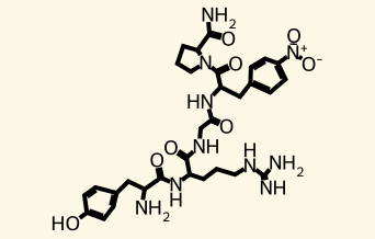 N=C(N)NCCCC(NC(=O)C(N)Cc1ccc(O)cc1)C(=O)NCC(=O)NC(Cc1ccc([N+](=O)[O-])cc1)C(=O)N1CCCC1C(N)=O